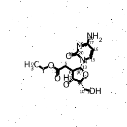 CCOC(=O)CC1C(O)[C@@H](CO)O[C@H]1n1ccc(N)nc1=O